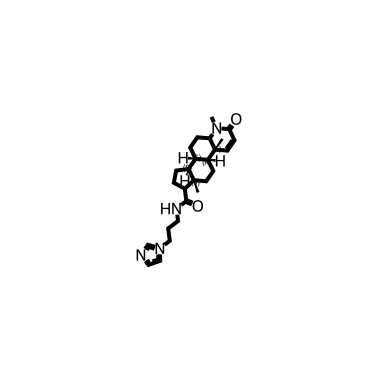 CN1C(=O)C=C[C@@]2(C)C1CC[C@@H]1[C@H]2CC[C@]2(C)C(C(=O)NCCCn3ccnc3)CC[C@@H]12